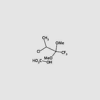 COC(OC)(C(C)Cl)C(F)(F)F.O=C(O)O